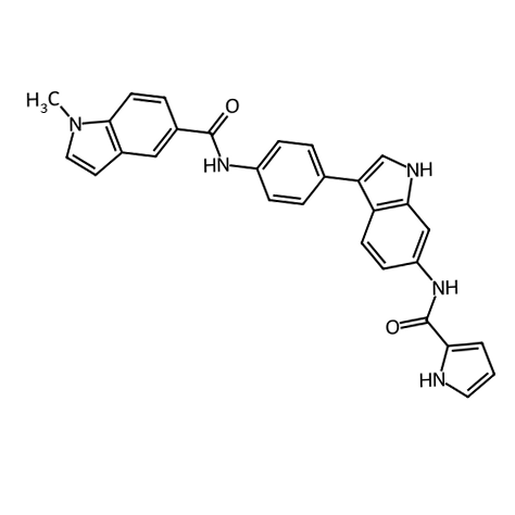 Cn1ccc2cc(C(=O)Nc3ccc(-c4c[nH]c5cc(NC(=O)c6ccc[nH]6)ccc45)cc3)ccc21